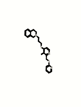 Cc1c(SCCCN2CCc3ccccc3C2)ccnc1CSc1ccccn1